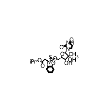 CC(C)OC(=O)CNP(=S)(OC[C@H]1O[C@@H](n2ccc(=O)[nH]c2=O)[C@](C)(O)[C@@H]1O)Oc1ccccc1